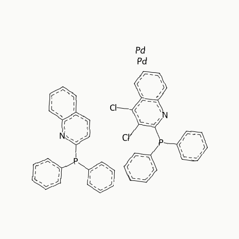 Clc1c(P(c2ccccc2)c2ccccc2)nc2ccccc2c1Cl.[Pd].[Pd].c1ccc(P(c2ccccc2)c2ccc3ccccc3n2)cc1